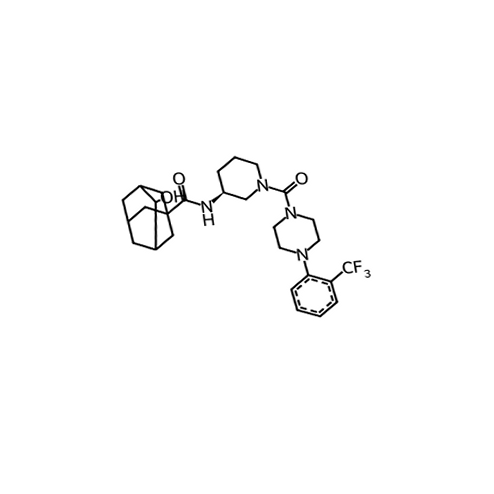 O=C(N1CCN(c2ccccc2C(F)(F)F)CC1)N1CCC[C@H](NC(=O)C23CC4CC(C2)C(O)C(C4)C3)C1